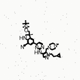 CN1CCN(Cc2c(Nc3nccc(-c4cc(C#N)c5c(c4)[C@@](C)(CO[Si](C)(C)C(C)(C)C)CN5)n3)cnn2CCC2CC2)CC1